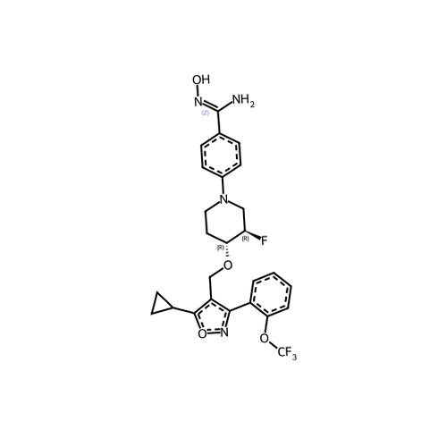 N/C(=N\O)c1ccc(N2CC[C@@H](OCc3c(-c4ccccc4OC(F)(F)F)noc3C3CC3)[C@H](F)C2)cc1